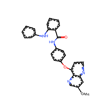 COc1cnc2c(Oc3ccc(NC(=O)c4ccccc4Nc4ccccc4)cc3)ccnc2c1